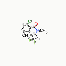 Cc1ccc(Cl)c(C(=O)N(C)C2CC(F)(F)C2)c1